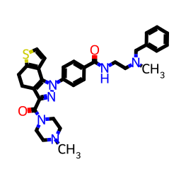 CN1CCN(C(=O)c2nn(-c3ccc(C(=O)NCCN(C)Cc4ccccc4)cc3)c3c2CCc2sccc2-3)CC1